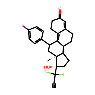 C#CC(F)(F)[C@]1(O)CCC2C3CCC4=CC(=O)CCC4=C3C(c3ccc(I)cc3)C[C@@]21C